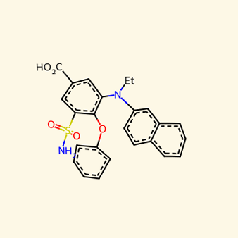 CCN(c1ccc2ccccc2c1)c1cc(C(=O)O)cc(S(N)(=O)=O)c1Oc1ccccc1